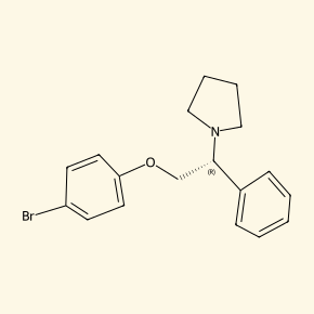 Brc1ccc(OC[C@@H](c2ccccc2)N2CCCC2)cc1